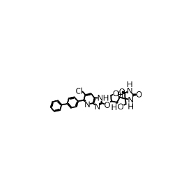 O=C1NC(=O)C2(CO[C@@H]3C(Oc4nc5nc(-c6ccc(-c7ccccc7)cc6)c(Cl)cc5[nH]4)CO[C@@H]32)N1